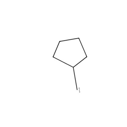 [C]C1CCCC1